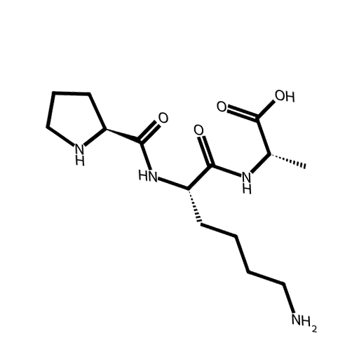 C[C@H](NC(=O)[C@H](CCCCN)NC(=O)[C@@H]1CCCN1)C(=O)O